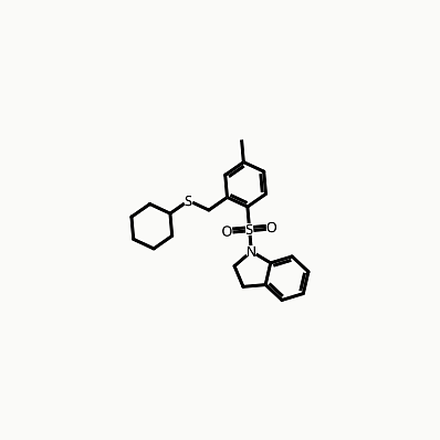 Cc1ccc(S(=O)(=O)N2CCc3ccccc32)c(CSC2CCCCC2)c1